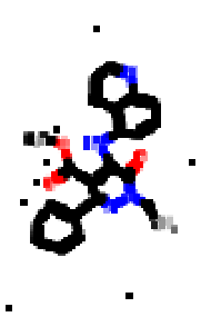 CCn1nc(-c2ccccc2)c(C(=O)OC)c(Nc2cccc3ncccc23)c1=O